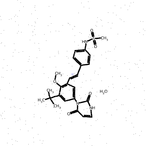 COc1c(/C=C/c2ccc(NS(C)(=O)=O)cc2)cc(-n2c(=O)cc[nH]c2=O)cc1C(C)(C)C.O